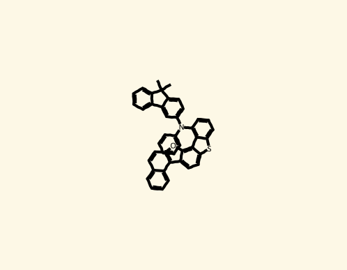 CC1(C)c2ccccc2-c2cc(N(c3ccccc3)c3cccc4sc5ccc6c(oc7ccc8ccccc8c76)c5c34)ccc21